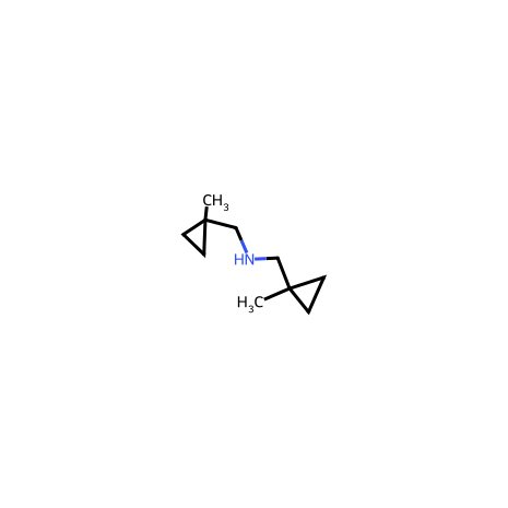 CC1(CNCC2(C)CC2)CC1